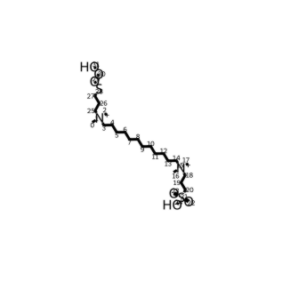 C[N+](C)(CCCCCCCCCCCC[N+](C)(C)CCCS(=O)(=O)O)CCCSOOO